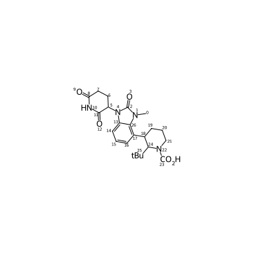 Cn1c(=O)n(C2CCC(=O)NC2=O)c2cccc(C3CCCN(C(=O)O)C3C(C)(C)C)c21